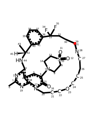 Cc1nc2c3cc(N4CCS(=O)(=O)CC4)c(=O)n(c3n1)CCCOCCCCN1CC(C1)CC(F)(F)c1cccc(c1)[C@@H](C)N2